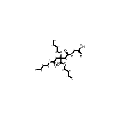 CCCCOC(=O)CC(CC(=O)OCC(=O)O)(OCCCC)C(=O)OCCCC